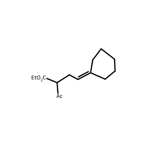 CCOC(=O)C(CC=C1CCCCC1)C(C)=O